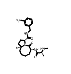 CN[C@@H](C)C(=O)N[C@H]1CCCC[C@H]2CC[C@@H](C(=O)NCc3cccc(N)c3)N2C1=O